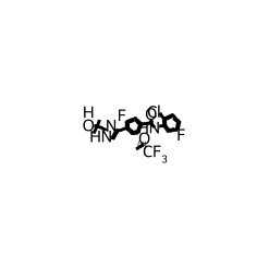 C[C@H](Oc1cc(-c2c[nH]c(C(C)(C)O)n2)c(F)cc1C(=O)Nc1cc(F)ccc1Cl)C(F)(F)F